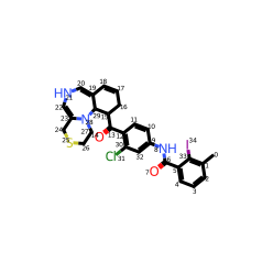 Cc1cccc(C(=O)Nc2ccc(C(=O)C3CC=CC4=CNC=C5CSCCN5C43)c(Cl)c2)c1I